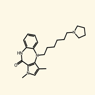 Cc1cn(C)c2c1N(CCCCCCN1CCCC1)c1ccccc1NC2=O